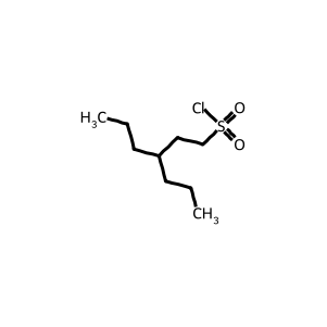 CCCC(CCC)CCS(=O)(=O)Cl